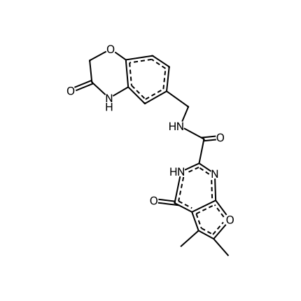 Cc1oc2nc(C(=O)NCc3ccc4c(c3)NC(=O)CO4)[nH]c(=O)c2c1C